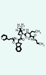 C=CCNC(=O)C(=O)C(CCC)NC(=O)[C@@H]1[C@H]2[C@@H](CN1C(=O)[C@@H](NC(=O)CCc1ccccc1)C1Cc3ccccc3C1)C2(C)C